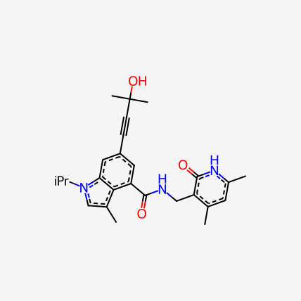 Cc1cc(C)c(CNC(=O)c2cc(C#CC(C)(C)O)cc3c2c(C)cn3C(C)C)c(=O)[nH]1